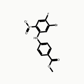 COC(=O)c1ccc(Nc2cc(Br)c(F)cc2[N+](=O)[O-])cc1